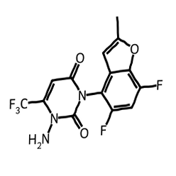 Cc1cc2c(-n3c(=O)cc(C(F)(F)F)n(N)c3=O)c(F)cc(F)c2o1